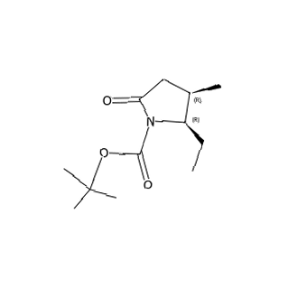 CC[C@@H]1[C@H](C)CC(=O)N1C(=O)OC(C)(C)C